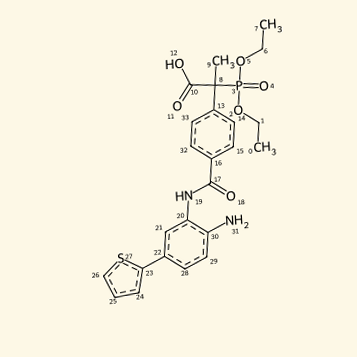 CCOP(=O)(OCC)C(C)(C(=O)O)c1ccc(C(=O)Nc2cc(-c3cccs3)ccc2N)cc1